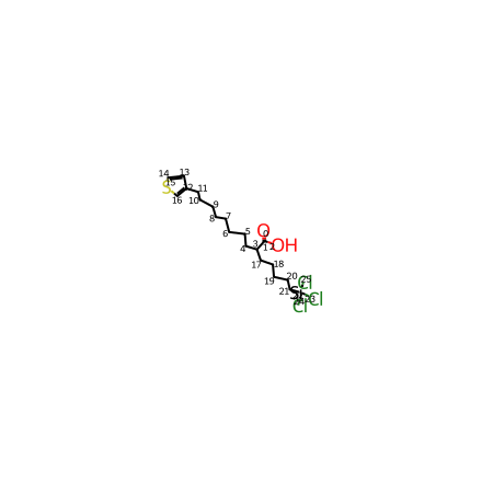 O=C(O)C(CCCCCCCCc1ccsc1)CCCCC[Si](Cl)(Cl)Cl